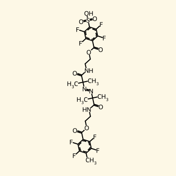 Cc1c(F)c(F)c(C(=O)OCCNC(=O)C(C)(C)N=NC(C)(C)C(=O)NCCOC(=O)c2c(F)c(F)c(S(=O)(=O)O)c(F)c2F)c(F)c1F